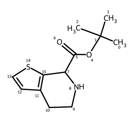 CC(C)(C)OC(=O)C1NCCc2ccsc21